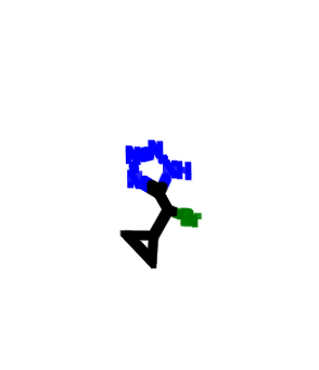 BrC(c1nnn[nH]1)C1CC1